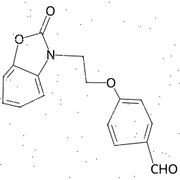 O=Cc1ccc(OCCn2c(=O)oc3ccccc32)cc1